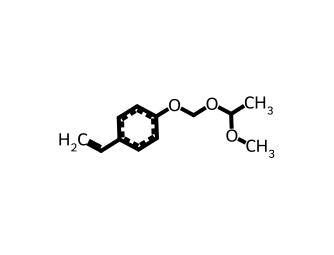 C=Cc1ccc(OCOC(C)OC)cc1